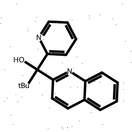 CC(C)(C)C(O)(c1ccccn1)c1ccc2ccccc2n1